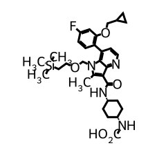 Cc1c(C(=O)N[C@H]2CC[C@@H](NC(=O)O)CC2)c2nccc(-c3ccc(F)cc3OCC3CC3)c2n1COCC[Si](C)(C)C